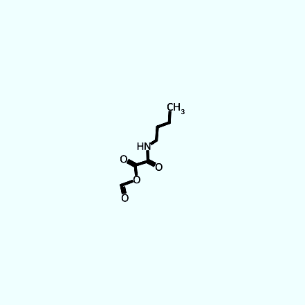 CCCCNC(=O)C(=O)OC=O